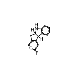 Fc1ccc2c(c1)[C@H]1c3ccccc3N[C@H]1C2